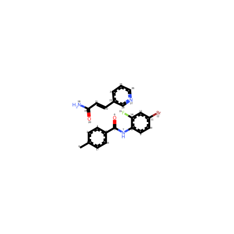 Cc1ccc(C(=O)Nc2ccc(Br)cc2F)cc1.NC(=O)C=Cc1cccnc1